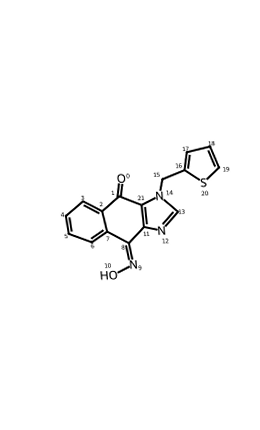 O=C1c2ccccc2C(=NO)c2ncn(Cc3cccs3)c21